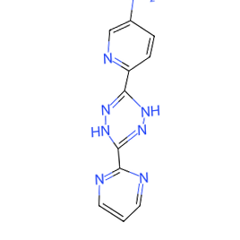 Nc1ccc(C2=NNC(c3ncccn3)=NN2)nc1